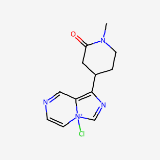 CN1CCC(C2=C3C=NC=C[N+]3(Cl)C=N2)CC1=O